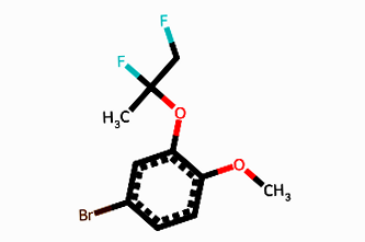 COc1ccc(Br)cc1OC(C)(F)CF